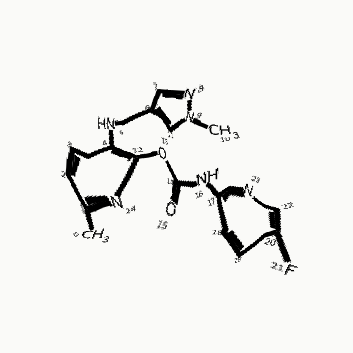 Cc1ccc(Nc2cnn(C)c2)c(OC(=O)Nc2ccc(F)cn2)n1